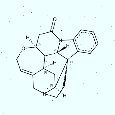 O=C1C[C@@H]2OCC=C3CN4CC[C@]56c7ccccc7N1[C@H]5C2[C@H]3C[C@H]46